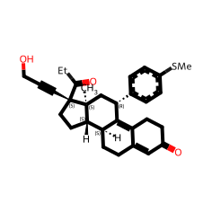 CCC(=O)[C@@]1(C#CCO)CC[C@H]2[C@@H]3CCC4=CC(=O)CCC4=C3[C@@H](c3ccc(SC)cc3)C[C@@]21C